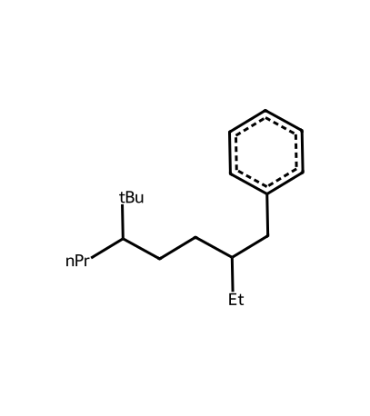 CCCC(CCC(CC)Cc1ccccc1)C(C)(C)C